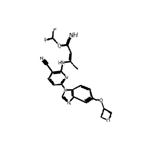 C/C(=C/C(=N)OC(F)F)Nc1nc(-n2cnc3cc(OC4COC4)ccc32)ccc1C#N